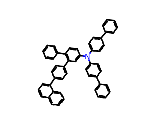 c1ccc(-c2ccc(N(c3ccc(-c4ccccc4)cc3)c3ccc(-c4ccccc4)c(-c4ccc(-c5cccc6ccccc56)cc4)c3)cc2)cc1